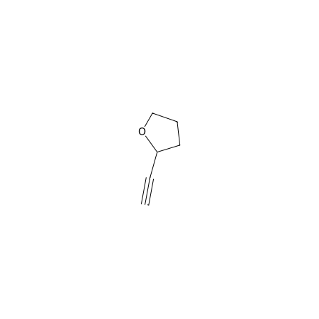 [C]#CC1CCCO1